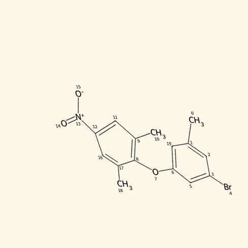 Cc1cc(Br)cc(Oc2c(C)cc([N+](=O)[O-])cc2C)c1